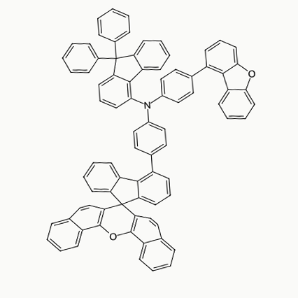 c1ccc(C2(c3ccccc3)c3ccccc3-c3c(N(c4ccc(-c5cccc6c5-c5ccccc5C65c6ccc7ccccc7c6Oc6c5ccc5ccccc65)cc4)c4ccc(-c5cccc6oc7ccccc7c56)cc4)cccc32)cc1